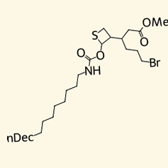 CCCCCCCCCCCCCCCCCCNC(=O)OC1SCC1C(CCCBr)CC(=O)OC